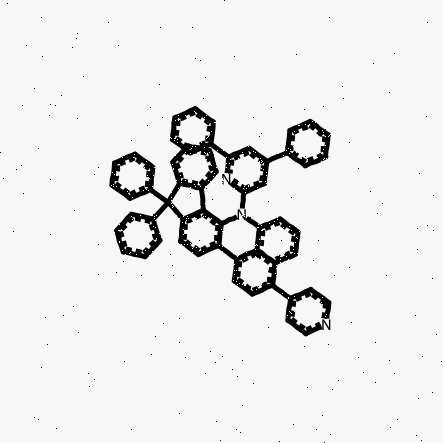 c1ccc(-c2cc(-c3ccccc3)nc(N3c4c(ccc5c4-c4ccccc4C5(c4ccccc4)c4ccccc4)-c4ccc(-c5ccncc5)c5cccc3c45)c2)cc1